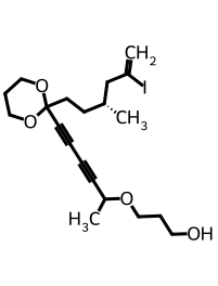 C=C(I)C[C@H](C)CCC1(C#CC#CC(C)OCCCO)OCCCO1